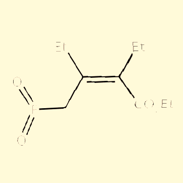 CCOC(=O)C(CC)=C(CC)CP(=O)=O